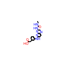 CCNC(=O)Nc1cnc2ccc(Nc3cccc(CC(=O)O)c3)nc2n1